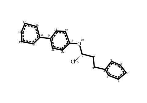 Cl[C@@H](CCc1ccccc1)Oc1ccc(-c2ccccc2)cc1